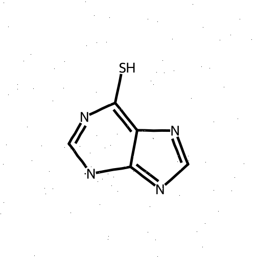 SC1=C2N=CN=C2[N]C=N1